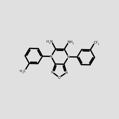 Cc1cccc(N2C(N)=C(N)N(c3cccc(C(F)(F)F)c3)c3nonc32)c1